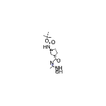 C/C(=N/C(=O)[C@H]1CC[C@@H](NC(=O)OC(C)(C)C)C1)NO